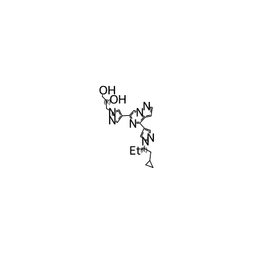 CC[C@H](CC1CC1)n1cc(-c2nc(-c3cnn(C[C@@H](O)CO)c3)cn3nccc23)cn1